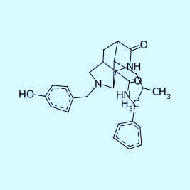 CC(C)CC1C2CC3CN(Cc4ccc(O)cc4)C1C3(C(=O)NCc1ccccc1)NC2=O